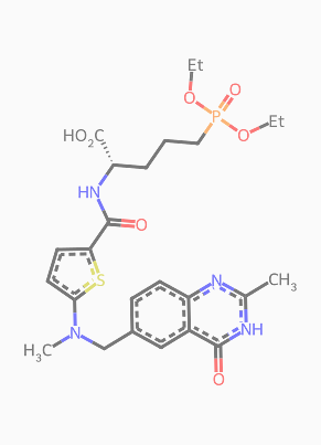 CCOP(=O)(CCC[C@H](NC(=O)c1ccc(N(C)Cc2ccc3nc(C)[nH]c(=O)c3c2)s1)C(=O)O)OCC